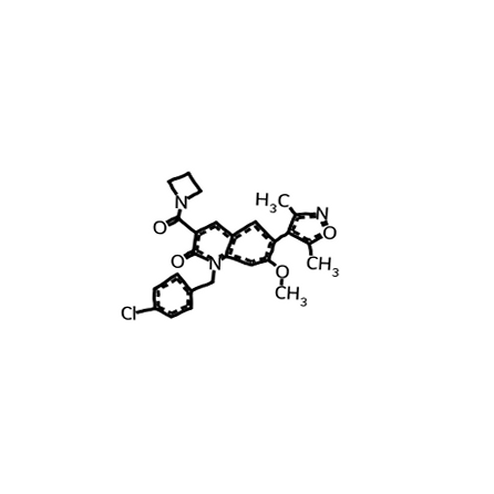 COc1cc2c(cc1-c1c(C)noc1C)cc(C(=O)N1CCC1)c(=O)n2Cc1ccc(Cl)cc1